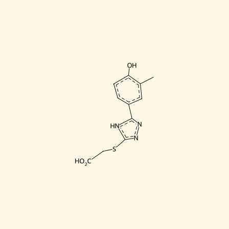 Cc1cc(-c2nnc(SCC(=O)O)[nH]2)ccc1O